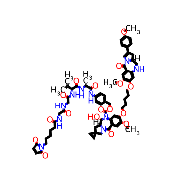 COc1ccc(C2=CN3C(=O)c4cc(OC)c(OCCCCCOc5cc6c(cc5OC)C(=O)N5CC7(CC7)C[C@H]5[C@@H](O)N6C(=O)OCc5ccc(NC(=O)[C@H](C)NC(=O)[C@@H](NC(=O)CNC(=O)CNC(=O)CCCCCN6C(=O)C=CC6=O)C(C)C)cc5)cc4NC[C@@H]3C2)cc1